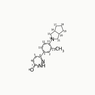 Cc1cc(-c2ccc(=O)[nH]n2)ccc1N1CC2CCCC2C1